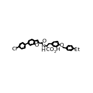 CCc1ccc(COc2ccc(C[C@H](NC(=O)c3cc4ccc(-c5ccc(Cl)cc5)cc4o3)C(=O)O)cc2)cc1